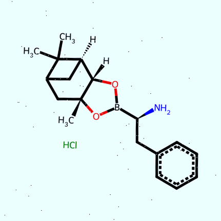 CC1(C)C2C[C@@H]1[C@@H]1OB([C@@H](N)Cc3ccccc3)O[C@]1(C)C2.Cl